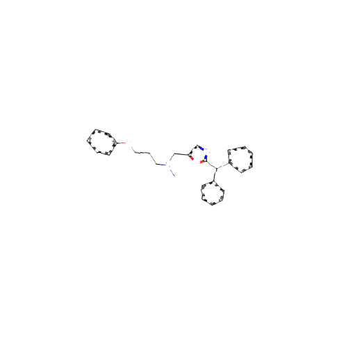 CN(CCCOc1ccccc1)Cc1cnc(C(c2ccccc2)c2ccccc2)o1